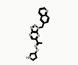 C/C(=N\OC1CCNC1)c1cnc2nnn(Cc3ccc4ncccc4c3)c2n1